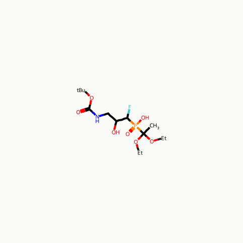 CCOC(C)(OCC)P(=O)(O)C(F)C(O)CNC(=O)OC(C)(C)C